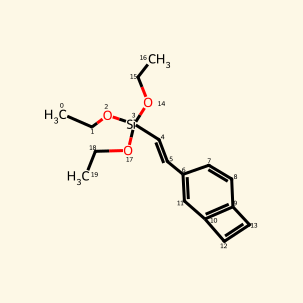 CCO[Si](/C=C/c1ccc2c(c1)C=C2)(OCC)OCC